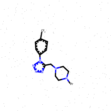 CC(C)N1CCN(Cc2nnnn2-c2ccc(C(F)(F)F)cc2)CC1